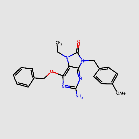 COc1ccc(Cn2c(=O)n(CC(F)(F)F)c3c(OCc4ccccc4)nc(N)nc32)cc1